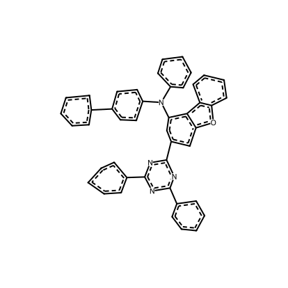 c1ccc(-c2ccc(N(c3ccccc3)c3cc(-c4nc(-c5ccccc5)nc(-c5ccccc5)n4)cc4oc5ccccc5c34)cc2)cc1